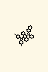 Cc1ccc(N(c2ccc(C)cc2)c2c3ccccc3c(N(c3ccccc3)c3ccc4ccccc4c3)c3ccccc23)cc1